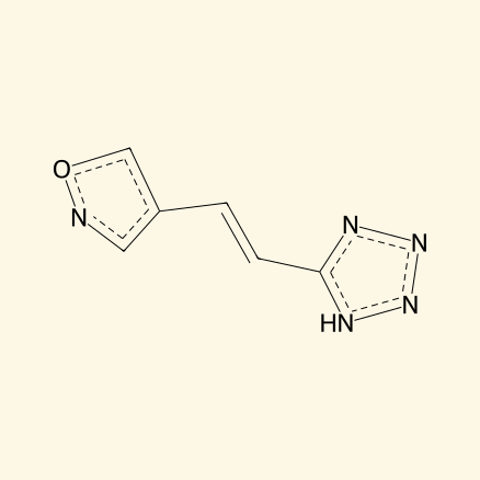 C(=Cc1nnn[nH]1)c1cnoc1